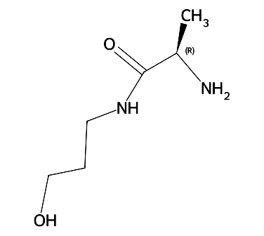 C[C@@H](N)C(=O)NCCCO